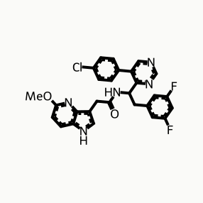 COc1ccc2[nH]cc(CC(=O)NC(Cc3cc(F)cc(F)c3)c3ncncc3-c3ccc(Cl)cc3)c2n1